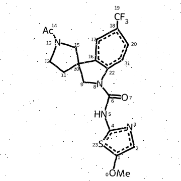 COc1cnc(NC(=O)N2CC3(CCN(C(C)=O)C3)c3cc(C(F)(F)F)ccc32)s1